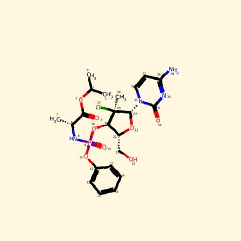 CC(C)OC(=O)[C@@H](C)NP(=O)(Oc1ccccc1)O[C@@H]1[C@@H](CO)O[C@@H](n2ccc(N)nc2=O)[C@]1(C)Cl